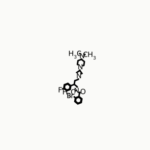 CN(CC(CCN1CC(N2CCC(N(C)C)CC2)C1)c1ccc(F)cc1)C(=O)c1ccccc1Br